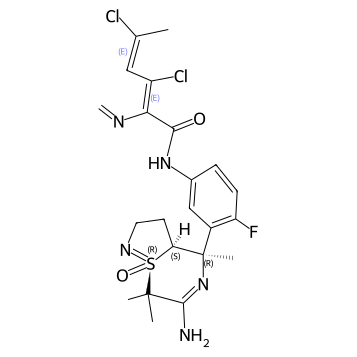 C=N/C(C(=O)Nc1ccc(F)c([C@@]2(C)N=C(N)C(C)(C)[S@@]3(=O)=NCC[C@@H]23)c1)=C(Cl)\C=C(/C)Cl